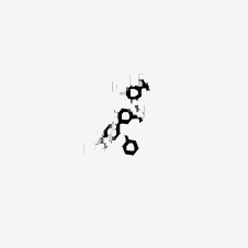 Cc1nn(-c2cc(C(F)(F)F)c(F)c(O)c2F)c2cnc(N3CCN(S(C)(=O)=O)C[C@H]3Cc3ccccc3)cc12